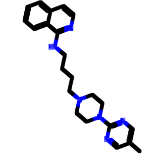 Cc1cnc(N2CCN(CCCCNc3nccc4ccccc34)CC2)nc1